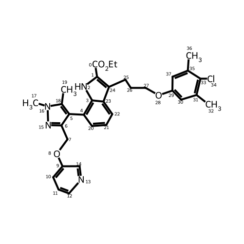 CCOC(=O)c1[nH]c2c(-c3c(COc4cccnc4)nn(C)c3C)cccc2c1CCCOc1cc(C)c(Cl)c(C)c1